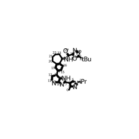 Cc1nn(C(C)C)cc1-c1nc2nccc(-c3ccc4c(c3)CCCC[C@H]4NC(=O)c3nnc(C(C)(C)C)o3)c2[nH]1